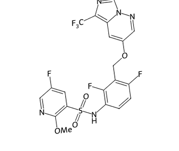 COc1ncc(F)cc1S(=O)(=O)Nc1ccc(F)c(COc2cnn3cnc(C(F)(F)F)c3c2)c1F